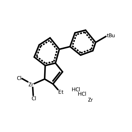 CCC1=Cc2c(-c3ccc(C(C)(C)C)cc3)cccc2[CH]1[Zr]([Cl])[Cl].Cl.Cl.[Zr]